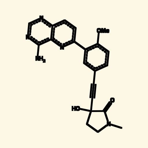 COc1ccc(C#CC2(O)CCN(C)C2=O)cc1-c1ccc2ncnc(N)c2n1